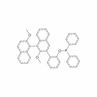 COc1ccc2ccccc2c1-c1c(OC)c(-c2ccccc2OP(c2ccccc2)c2ccccc2)cc2ccccc12